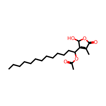 CCCCCCCCCCCCC(OC(C)=O)C1=C(C)C(=O)OC1O